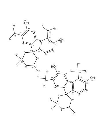 CC1CC(C)(C)CC(c2ccc(O)c(C(C)(C)C)c2)(c2ccc(O)c(C(C)(C)C)c2)C1.CC1CC(C)(C)CC(c2ccc(O)c(C(C)C)c2)(c2ccc(O)c(C(C)C)c2)C1